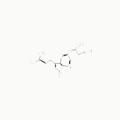 CC(=O)C(C#N)=CCc1c[nH]c2ncc(OC(C)CO)nc12